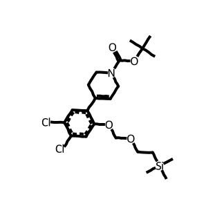 CC(C)(C)OC(=O)N1CC=C(c2cc(Cl)c(Cl)cc2OCOCC[Si](C)(C)C)CC1